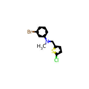 CN(Cc1ccc(Cl)s1)c1cc[c]c(Br)c1